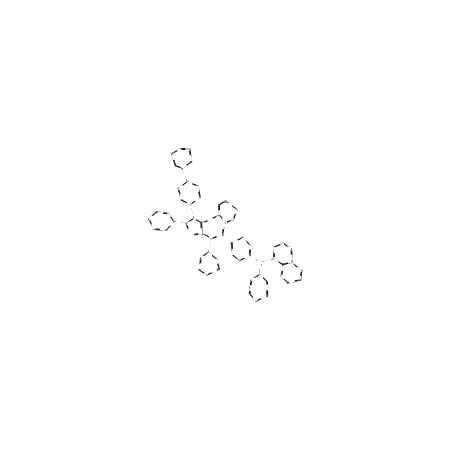 c1ccc(-c2ccc(-c3c(-c4ccccc4)sc4c(-c5ccccc5)c(-c5ccc(N(c6ccccc6)c6cccc7ccccc67)cc5)c5ccccc5c34)cc2)cc1